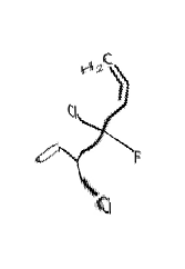 C=CC(F)(Cl)C(Cl)Cl